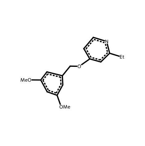 CCc1cc(OCc2cc(OC)cc(OC)c2)ccn1